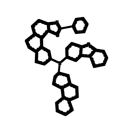 c1ccc(-c2nc3ccc4ccc5ccc(N(c6ccc7c(ccc8ccccc87)c6)c6ccc7oc8ccccc8c7c6)cc5c4c3o2)cc1